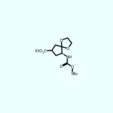 CCOC(=O)C1C[C@H](NC(=O)OC(C)(C)C)C2(C1)OCCO2